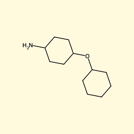 NC1CCC(OC2CCCCC2)CC1